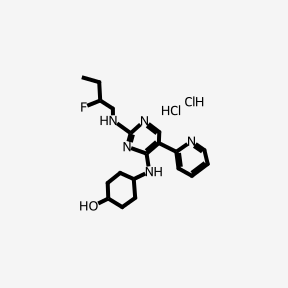 CCC(F)CNc1ncc(-c2ccccn2)c(NC2CCC(O)CC2)n1.Cl.Cl